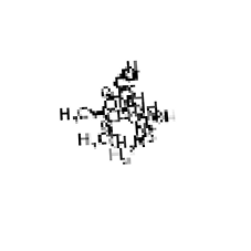 CC/C=C(\COC(=O)C1=C(/C=C\c2cccnc2)CS[C@H]2[C@H](NC(=O)C(=NO)c3csc(N)n3)C(=O)N12)C(=O)OCC(C)C